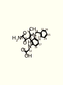 CCc1c(C(=O)C(N)=O)c2c(NCC(=O)O)cccc2n1Cc1ccccc1